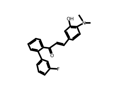 CN(C)c1ccc(/C=C/C(=O)c2ccccc2-c2cccc(F)c2)cc1O